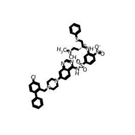 CN(C)CC[C@H](CSc1ccccc1)Nc1cc(S(=O)(=O)Nc2ncnc3cc(N4CCN(Cc5cc(Cl)ccc5-c5ccccc5)CC4)ccc23)ccc1[N+](=O)[O-]